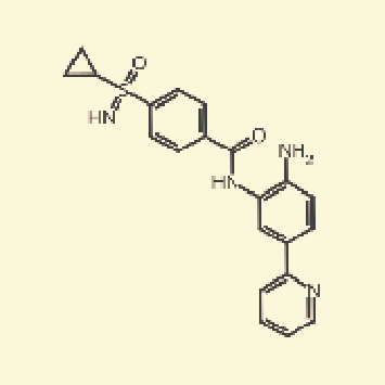 N=S(=O)(c1ccc(C(=O)Nc2cc(-c3ccccn3)ccc2N)cc1)C1CC1